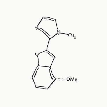 COc1cccc2oc(-c3nccn3C)cc12